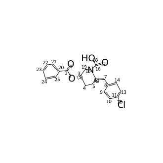 O=C(O[C@H]1CC[C@H](Cc2ccc(Cl)cc2)N(C(=O)O)C1)c1ccccc1